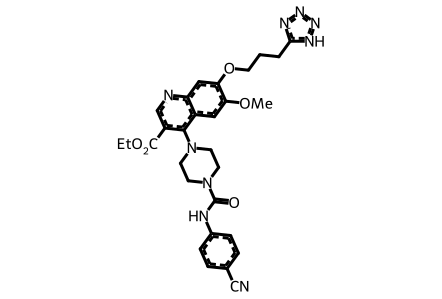 CCOC(=O)c1cnc2cc(OCCCc3nnn[nH]3)c(OC)cc2c1N1CCN(C(=O)Nc2ccc(C#N)cc2)CC1